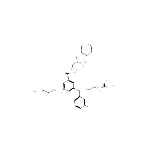 CNC(CNC(=O)c1cc(OCCCOC)cc([C@@H](OCCNC(=O)OC)c2cccc(Cl)c2)c1)C[C@H]1CCCOC1